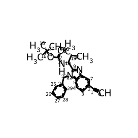 C#Cc1ccc2c(c1)nc([C@H](NC(=O)OC(C)(C)C)C(C)C)n2Cc1ccccc1